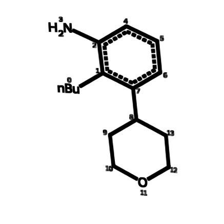 CCCCc1c(N)cccc1C1CCOCC1